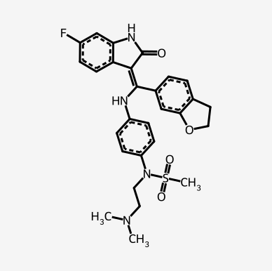 CN(C)CCN(c1ccc(NC(=C2C(=O)Nc3cc(F)ccc32)c2ccc3c(c2)OCC3)cc1)S(C)(=O)=O